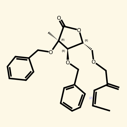 C=C(/C=C\C)COC[C@H]1OC(=O)[C@](C)(OCc2ccccc2)[C@@H]1OCc1ccccc1